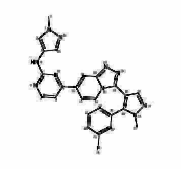 Cn1cc(Nc2nccc(-c3ccn4c(-c5cnn(C)c5-c5cccc(F)c5)nnc4c3)n2)cn1